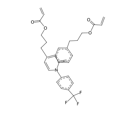 C=C/C=C(\C=C/N(c1ccc(CCCOC(=O)C=C)cc1)c1ccc(C(F)(F)F)cc1)CCCOC(=O)C=C